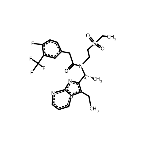 CCc1c([C@@H](C)N(CCS(=O)(=O)CC)C(=O)Cc2ccc(F)c(C(F)(F)F)c2)nc2ncccn12